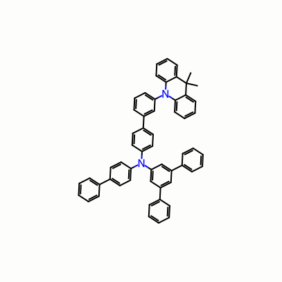 CC1(C)c2ccccc2N(c2cccc(-c3ccc(N(c4ccc(-c5ccccc5)cc4)c4cc(-c5ccccc5)cc(-c5ccccc5)c4)cc3)c2)c2ccccc21